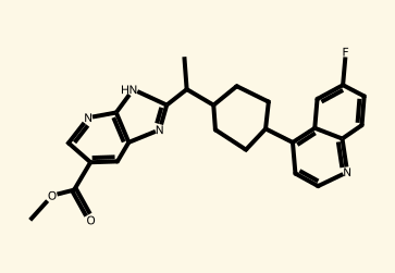 COC(=O)c1cnc2[nH]c(C(C)C3CCC(c4ccnc5ccc(F)cc45)CC3)nc2c1